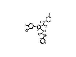 O=C(Nc1cnccn1)Nc1sc(-c2ccc(F)c(Cl)c2)cc1C(=O)N[C@H]1CCCNC1